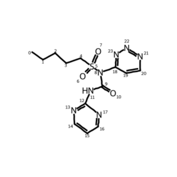 CCCCCS(=O)(=O)N(C(=O)Nc1ncccn1)c1ccnnn1